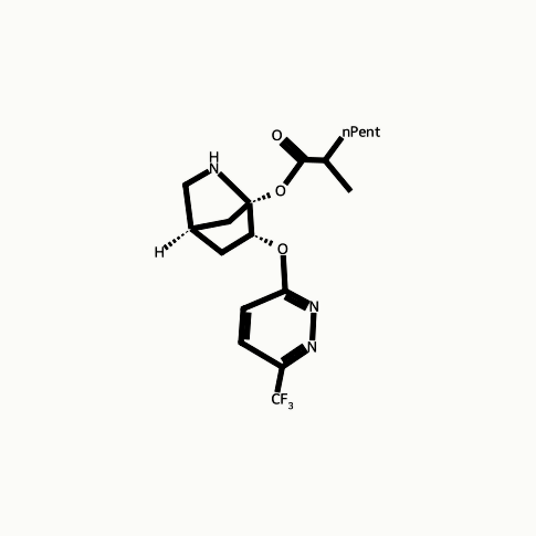 CCCCCC(C)C(=O)O[C@]12C[C@H](CN1)C[C@H]2Oc1ccc(C(F)(F)F)nn1